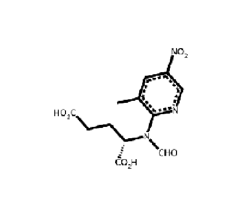 Cc1cc([N+](=O)[O-])cnc1N(C=O)[C@@H](CCC(=O)O)C(=O)O